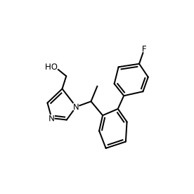 CC(c1ccccc1-c1ccc(F)cc1)n1cncc1CO